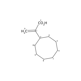 C=C(C(=O)O)C1CCCCCCC1